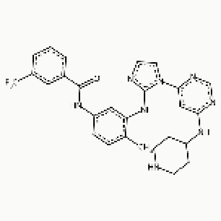 Cc1ccc(NC(=O)c2cccc(C(F)(F)F)c2)cc1Nc1nccn1-c1cc(NC2CCNCC2)ncn1